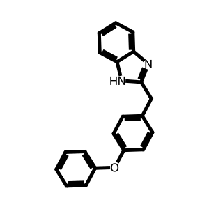 c1ccc(Oc2ccc(Cc3nc4ccccc4[nH]3)cc2)cc1